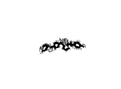 CC(C)(C(=O)N1CCCC1[C@H](N)c1ccc(C(=O)Nc2ccncc2)cc1)c1ccc(F)cc1